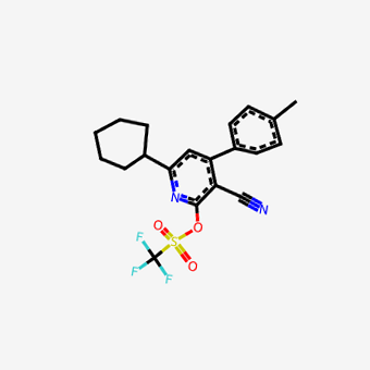 Cc1ccc(-c2cc(C3CCCCC3)nc(OS(=O)(=O)C(F)(F)F)c2C#N)cc1